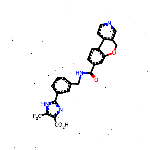 O=C(NCc1cccc(-c2nc(C(=O)O)c(C(F)(F)F)[nH]2)c1)c1ccc2c(c1)OCc1cnccc1-2